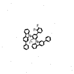 Fc1cccc(-c2cc(-n3c4ccccc4c4ccc(-c5ccccc5)cc43)c(C(F)(F)F)c(-n3c4ccccc4c4ccc(-c5ccccc5)cc43)c2)c1F